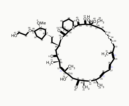 CO[C@@H]1C[C@H](CC[C@@H]2CC(=O)[C@H](C)/C=C(\C)[C@@H](O)CC(=O)[C@H](C)C[C@H](C)/C=C/C=C/C=C(\C)CCCCC[C@@H](C)C(O)(O)C(=O)C(=O)N3CCCC[C@H]3C(=O)O2)CC[C@H]1OCCO